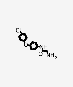 NCC(=O)Nc1ccc(Oc2ccc(Cl)cc2)cc1